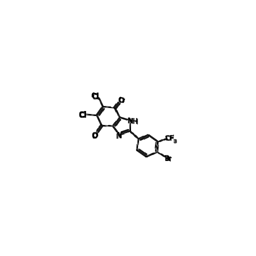 O=C1C(Cl)=C(Cl)C(=O)c2[nH]c(-c3ccc(Br)c(C(F)(F)F)c3)nc21